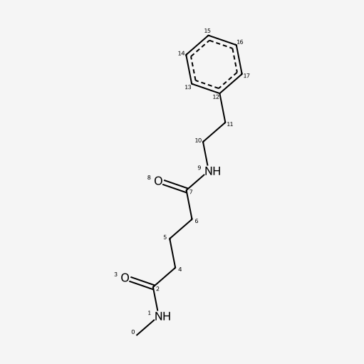 CNC(=O)CCCC(=O)NCCc1ccccc1